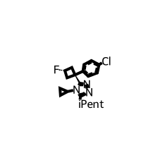 CCCC(C)c1nnc([C@]2(c3ccc(Cl)cc3)C[C@@H](F)C2)n1C1CC1